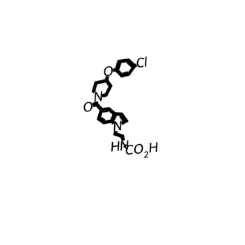 O=C(O)NCCn1ccc2cc(C(=O)N3CCC(Oc4ccc(Cl)cc4)CC3)ccc21